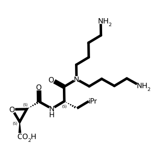 CC(C)C[C@H](NC(=O)[C@H]1O[C@@H]1C(=O)O)C(=O)N(CCCCN)CCCCN